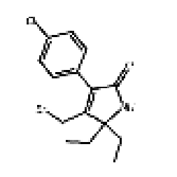 CCC1(CC)NC(=O)C(c2ccc(Cl)cc2)=C1CBr